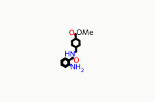 COC(=O)C1CCC(CNC(=O)c2ccccc2N)CC1